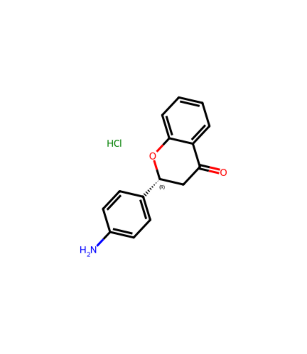 Cl.Nc1ccc([C@H]2CC(=O)c3ccccc3O2)cc1